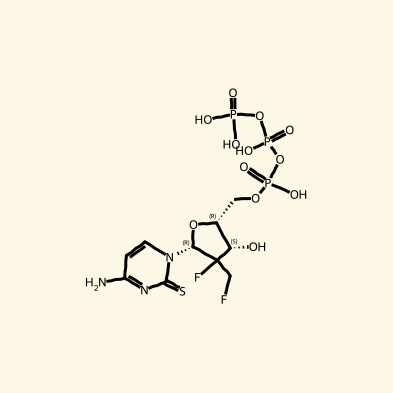 Nc1ccn([C@@H]2O[C@H](COP(=O)(O)OP(=O)(O)OP(=O)(O)O)[C@H](O)C2(F)CF)c(=S)n1